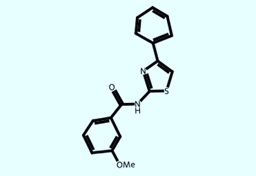 COc1cccc(C(=O)Nc2nc(-c3ccccc3)cs2)c1